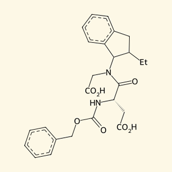 CCC1Cc2ccccc2C1N(CC(=O)O)C(=O)[C@H](CC(=O)O)NC(=O)OCc1ccccc1